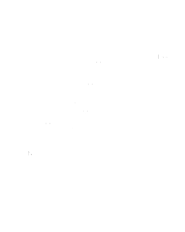 CCCCCCCCCCCCCCOc1ccc(C(=O)CC(=O)OCCN2CCCCC2)o1